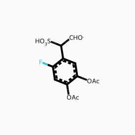 CC(=O)Oc1cc(F)c(C([C]=O)S(=O)(=O)O)cc1OC(C)=O